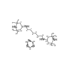 CC1(C)CC(NCCCCCCNC2CC(C)(C)NC(C)(C)C2)CC(C)(C)N1.c1ncncn1